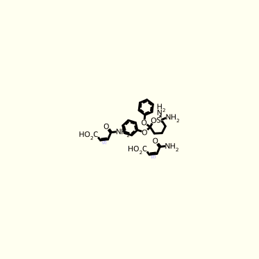 NC(=O)/C=C\C(=O)O.NC(=O)/C=C\C(=O)O.N[Si]1(N)CCCC(Oc2ccccc2)(Oc2ccccc2)O1